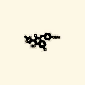 COc1ccc(Cn2c(=O)c(-c3coc(C)n3)c(O)c3cc(Cl)ccc32)cc1